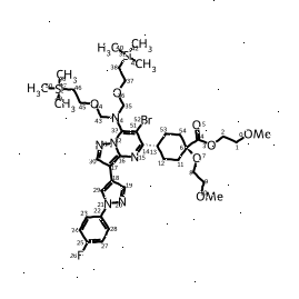 COCCOC(=O)[C@]1(OCCOC)CC[C@H](c2nc3c(-c4cnn(-c5ccc(F)cc5)c4)cnn3c(N(COCC[Si](C)(C)C)COCC[Si](C)(C)C)c2Br)CC1